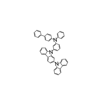 c1ccc(-c2ccc(N(c3ccccc3)c3cccc(-n4c5ccccc5c5ccc(-n6c7ccccc7c7ccccc76)cc54)c3)cc2)cc1